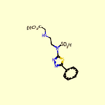 CCOC(=O)CNCCN(c1nnc(-c2ccccc2)s1)S(=O)(=O)O